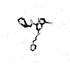 Bc1cnn2c(NCc3cccnc3)cc(NCCCN3CCCCC3)nc12